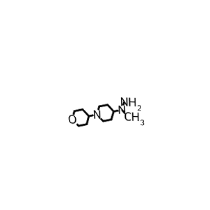 CN(N)C1CCN(C2CCOCC2)CC1